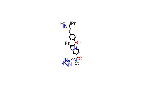 CCNC(CCc1ccc(C(=O)c2c(CC)cc3cc(C(=O)N(CC)Cc4nnn(C)n4)ccn23)cc1)C(C)C